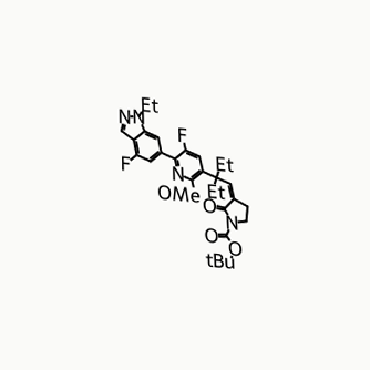 CCn1ncc2c(F)cc(-c3nc(OC)c(C(C=C4CCN(C(=O)OC(C)(C)C)C4=O)(CC)CC)cc3F)cc21